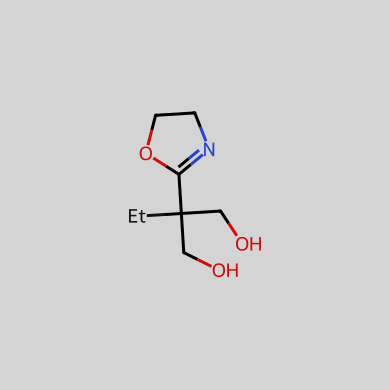 CCC(CO)(CO)C1=NCCO1